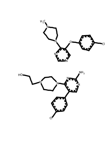 CN1CCN(c2ncncc2Oc2ccc(Cl)cc2)CC1.Nc1ncc(-c2ccc(Cl)cc2)c(N2CCN(CCO)CC2)n1